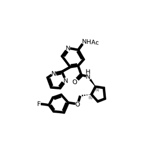 CC(=O)Nc1cc(C(=O)N[C@H]2CCC[C@@H]2COc2ccc(F)cc2)c(-c2ncccn2)cn1